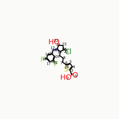 O=C(O)c1ccc(CCCC2/C(=C\c3cc(F)cc(F)c3)C(O)C[C@H]2Cl)s1